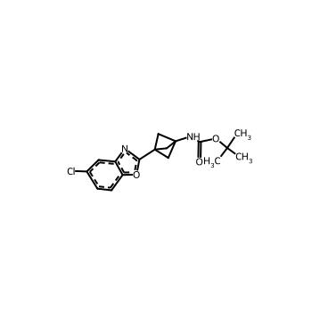 CC(C)(C)OC(=O)NC12CC(c3nc4cc(Cl)ccc4o3)(C1)C2